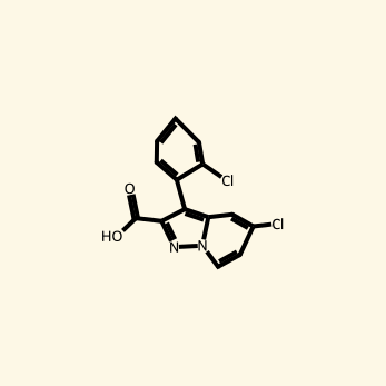 O=C(O)c1nn2ccc(Cl)cc2c1-c1ccccc1Cl